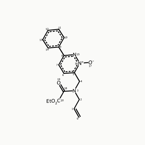 C=CCN(Cc1ccc(-c2ccccc2)n[n+]1[O-])C(=O)C(=O)OCC